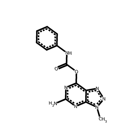 Cn1nnc2c(OC(=O)Nc3ccccc3)nc(N)nc21